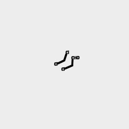 ClCCl.O=CCCl